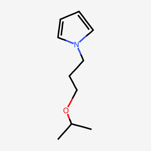 CC(C)OCCCn1cccc1